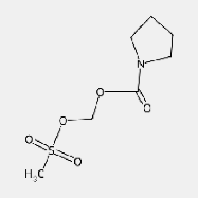 CS(=O)(=O)OCOC(=O)N1CCCC1